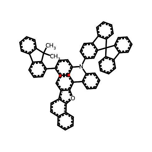 CC1(C)c2ccccc2-c2cccc(-c3ccc(N(c4ccc5c(c4)C4(c6ccccc6-c6ccccc64)c4ccccc4-5)c4ccccc4-c4cccc5c4oc4c6ccccc6ccc54)cc3)c21